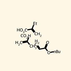 C=C(C)C(=O)O.C=C(CC)C(=O)O.C=CC(=O)OCCCC